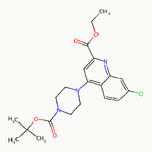 CCOC(=O)c1cc(N2CCN(C(=O)OC(C)(C)C)CC2)c2ccc(Cl)cc2n1